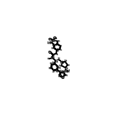 CN(C(=O)Cc1ccc2c(c1)NS(=O)(=O)C2)[C@H](CN1CC[C@H](O)C1)c1cccc(-c2ncon2)c1